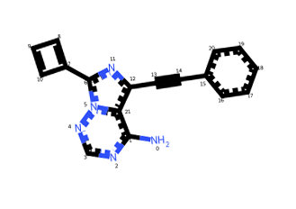 Nc1ncnn2c(C3=CC=C3)nc(C#Cc3ccccc3)c12